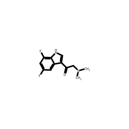 CN(C)CC(=O)c1c[nH]c2c(F)cc(F)cc12